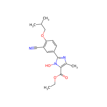 CCOC(=O)c1c(C)nc(-c2ccc(OCC(C)C)c(C#N)c2)n1O